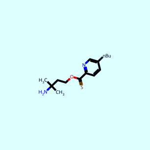 CCCCc1ccc(C(=S)OCCC(C)(C)N)nc1